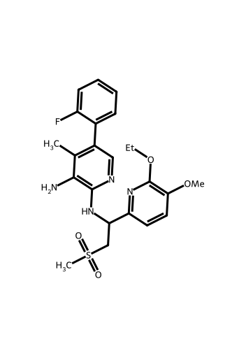 CCOc1nc(C(CS(C)(=O)=O)Nc2ncc(-c3ccccc3F)c(C)c2N)ccc1OC